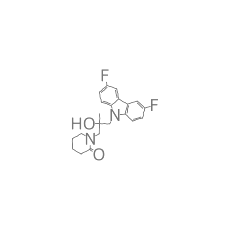 CC(O)(CN1CCCCC1=O)Cn1c2ccc(F)cc2c2cc(F)ccc21